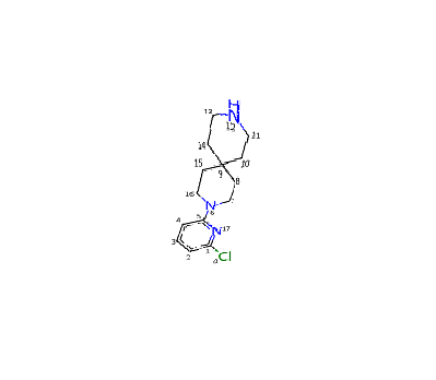 Clc1cccc(N2CCC3(CCNCC3)CC2)n1